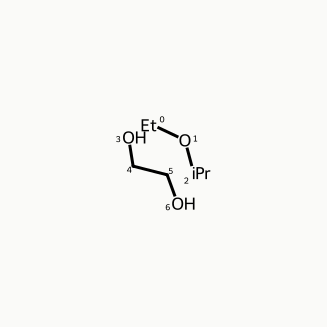 CCOC(C)C.OCCO